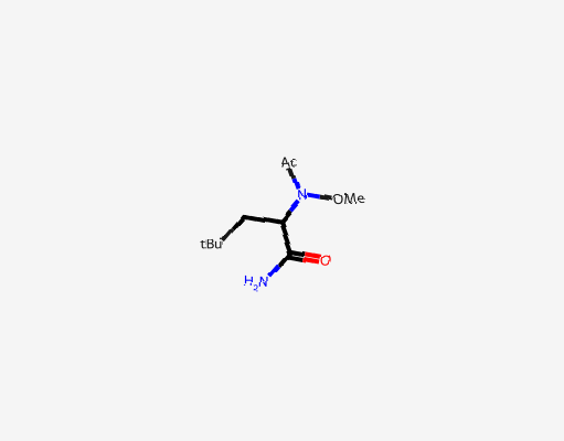 CON(C(C)=O)C(CC(C)(C)C)C(N)=O